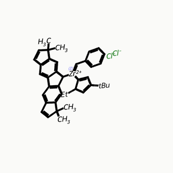 CCC1C=C(C(C)(C)C)C=[C]1/[Zr+2](=[CH]\c1ccccc1)[CH]1c2cc3c(cc2-c2cc4c(cc21)C(C)(C)C=C4)C=CC3(C)C.[Cl-].[Cl-]